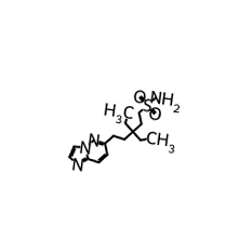 CCC(CC)(CCc1ccc2nccn2n1)CCS(N)(=O)=O